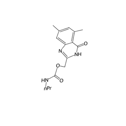 CCCNC(=O)OCc1nc2cc(C)cc(C)c2c(=O)[nH]1